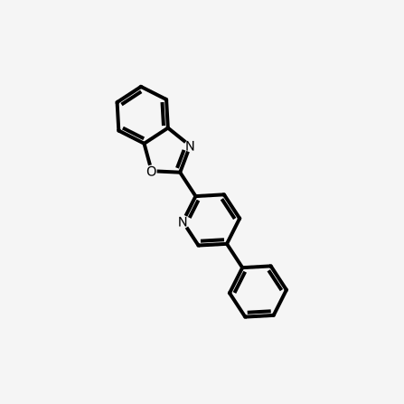 c1ccc(-c2ccc(-c3nc4ccccc4o3)nc2)cc1